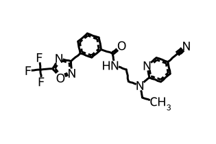 CCN(CCNC(=O)c1cccc(-c2noc(C(F)(F)F)n2)c1)c1ccc(C#N)cn1